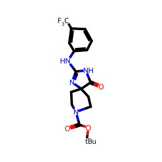 CC(C)(C)OC(=O)N1CCC2(CC1)N=C(Nc1cccc(C(F)(F)F)c1)NC2=O